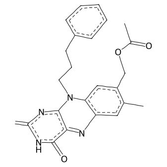 C=c1nc2c(c(=O)[nH]1)=Nc1cc(C)c(COC(C)=O)cc1N2CCCc1ccccc1